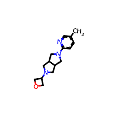 Cc1ccc(N2CC3CN(C4COC4)CC3C2)nc1